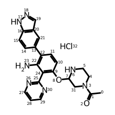 CC(=O)N1CCNC(Oc2ccc(-c3ccc4[nH]ncc4c3)c(N)c2-c2ncccn2)C1.Cl